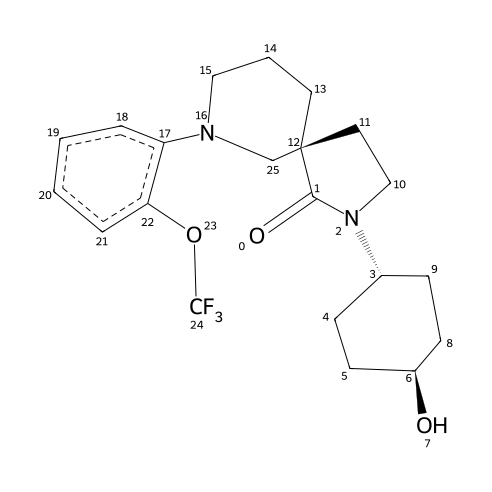 O=C1N([C@H]2CC[C@H](O)CC2)CC[C@@]12CCCN(c1ccccc1OC(F)(F)F)C2